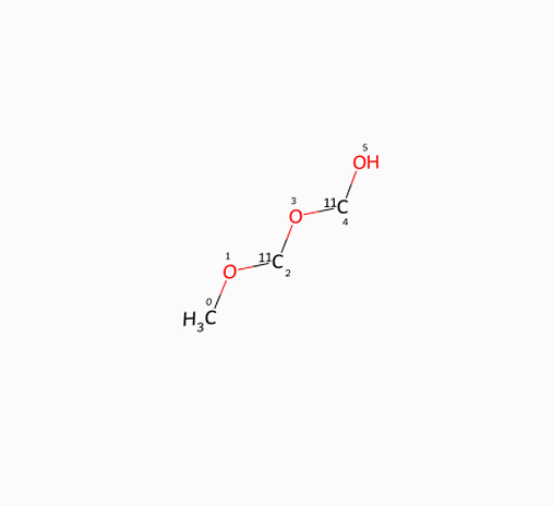 CO[11CH2]O[11CH2]O